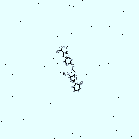 COC(=O)C(Br)Cc1ccc(OCCc2nc(-c3ccccc3Cl)oc2C)nc1